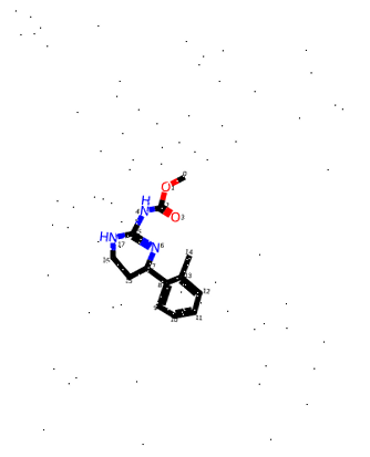 COC(=O)NC1=NC(c2ccccc2C)CCN1